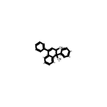 N#CC1C=C(c2ccccc2)c2ccccc2C1(C#N)c1ccccc1